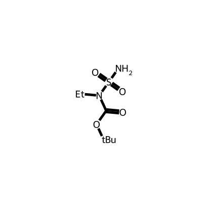 CCN(C(=O)OC(C)(C)C)S(N)(=O)=O